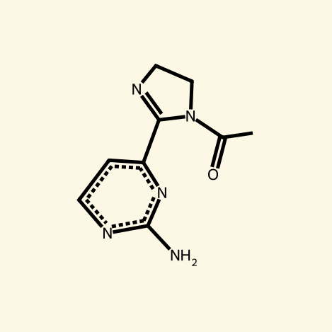 CC(=O)N1CCN=C1c1ccnc(N)n1